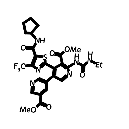 CCNC(=O)Nc1ncc(-c2cncc(C(=O)OC)c2)c(-c2nc(C(F)(F)F)c(C(=O)NC3CCCC3)s2)c1C(=O)OC